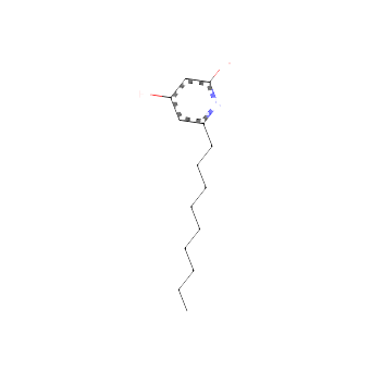 CCCCCCCCCc1cc(O)cc(O)n1